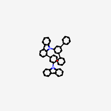 c1ccc(-c2cc(-c3ccccc3)cc(-n3c4ccccc4c4cccc(-c5cccc(-n6c7ccccc7c7ccccc76)c5)c43)c2)cc1